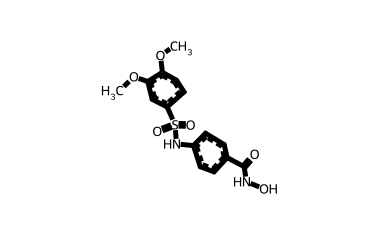 COc1ccc(S(=O)(=O)Nc2ccc(C(=O)NO)cc2)cc1OC